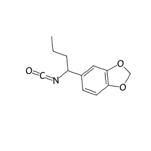 CCCC(N=C=O)c1ccc2c(c1)OCO2